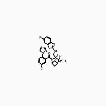 C[C@@H]1C2CC(C2)N(C(=O)c2cc(Cl)ccc2-n2nccn2)[C@@H]1CNc1nc2ccc(F)cc2s1